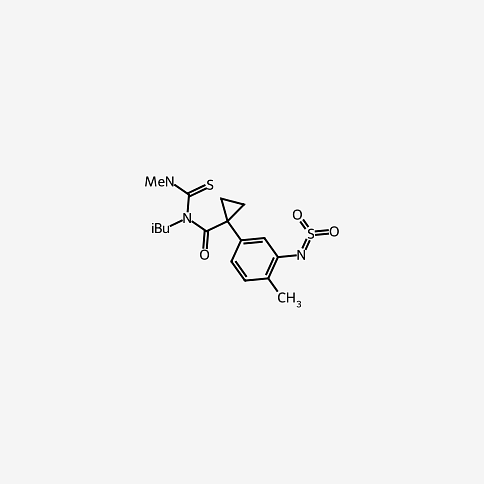 CCC(C)N(C(=O)C1(c2ccc(C)c(N=S(=O)=O)c2)CC1)C(=S)NC